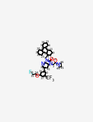 O=C(Cn1c(=O)n(Cc2cccc3c4ccccc4c4ccccc4c23)c2ncc(-c3cc(OCCF)cc(C(F)(F)F)c3)cc21)N1CCC1